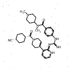 CN1CCC(N(C)C(=O)c2ccc(NC(=N)/N=c3\[nH]cccc3C3=CCN(C(=O)[C@H]4CC[C@@H](C#N)CC4)CC3)cc2)CC1